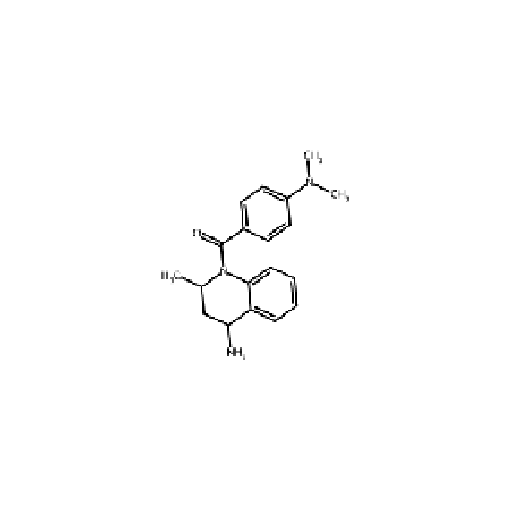 CC1CC(N)c2ccccc2N1C(=O)c1ccc(N(C)C)cc1